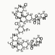 COc1cnc(-c2cc(F)cc(Cl)c2)cc1-n1c(=O)ccc2cc(S(=O)(=O)Nc3ccon3)ccc21.COc1cnc(Cl)cc1-n1c(=O)ccc2cc(S(=O)(=O)Nc3ccon3)ccc21